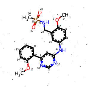 COc1ccc(Nc2cc(-c3ccccc3OC)ncn2)cc1CNS(C)(=O)=O